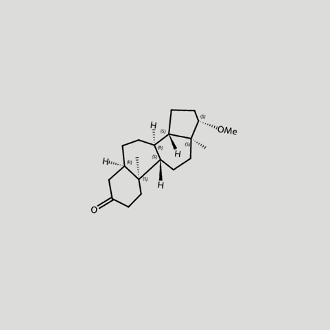 CO[C@H]1CC[C@H]2[C@@H]3CC[C@@H]4CC(=O)CC[C@]4(C)[C@H]3CC[C@]12C